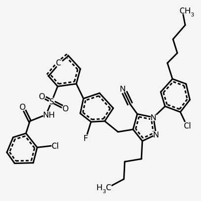 CCCCCc1ccc(Cl)c(-n2nc(CCCC)c(Cc3ccc(-c4ccccc4S(=O)(=O)NC(=O)c4ccccc4Cl)cc3F)c2C#N)c1